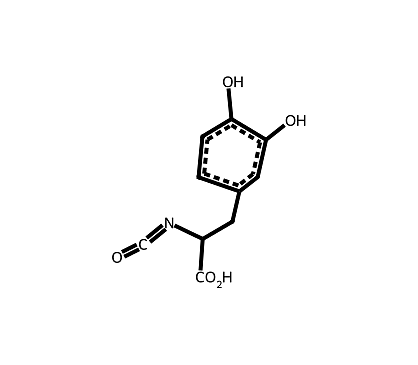 O=C=NC(Cc1ccc(O)c(O)c1)C(=O)O